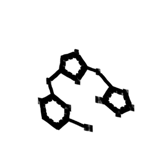 Sc1ccnc(Sc2csc(Sc3nnn[nH]3)n2)n1